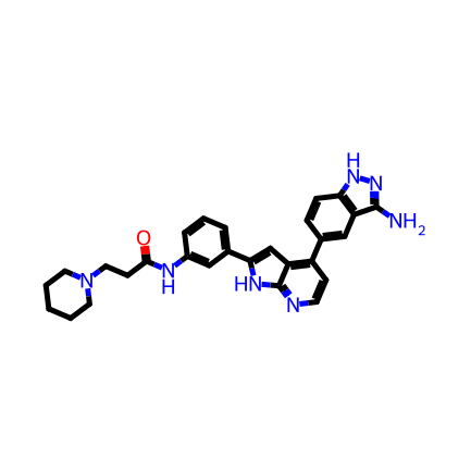 Nc1n[nH]c2ccc(-c3ccnc4[nH]c(-c5cccc(NC(=O)CCN6CCCCC6)c5)cc34)cc12